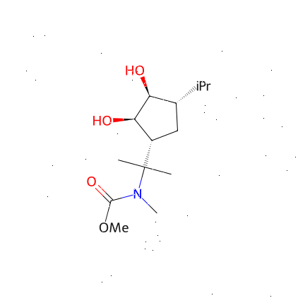 COC(=O)N(C)C(C)(C)[C@H]1C[C@@H](C(C)C)[C@H](O)[C@@H]1O